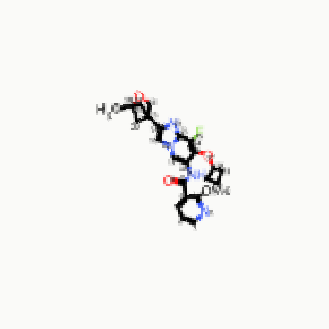 COc1ncccc1C(=O)Nc1cn2cc(C34COC(C)(C3)C4)nc2c(F)c1OC1CCC1